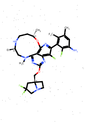 CC[C@@H]1CN(C)c2nc(OC[C@@]34CCN3CC(F)(F)C4)nc3c(F)c(-c4c(F)c(N)cc(C)c4C(F)(F)F)nc(c23)O[C@@H](C)CCN1